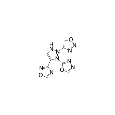 [C]1=C(c2ncon2)N(c2nnco2)N(c2conn2)N1